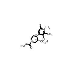 Cc1c([C@@H]2CCN(C(=O)OC(C)(C)C)C[C@H]2C(=O)O)cc(=O)n(C)c1C